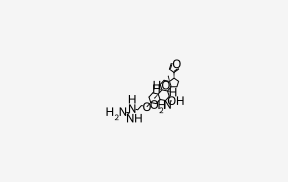 C[C@]12CC[C@H](OCCNC(=N)N)C[C@H]1CC[C@@H]1[C@@H]2CC[C@]2(C)[C@@H](c3ccoc3)CC[C@]12O.O=[N+]([O-])O